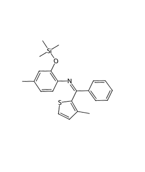 Cc1ccc(N=C(c2ccccc2)c2sccc2C)c(O[Si](C)(C)C)c1